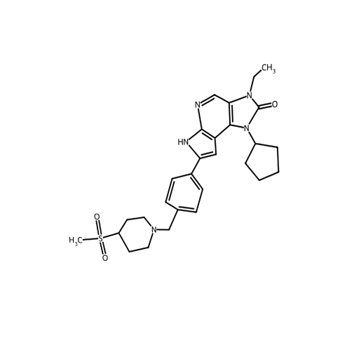 CCn1c(=O)n(C2CCCC2)c2c3cc(-c4ccc(CN5CCC(S(C)(=O)=O)CC5)cc4)[nH]c3ncc21